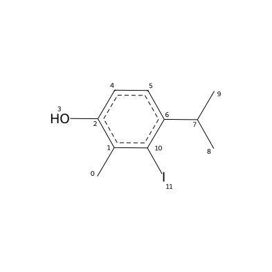 Cc1c(O)ccc(C(C)C)c1I